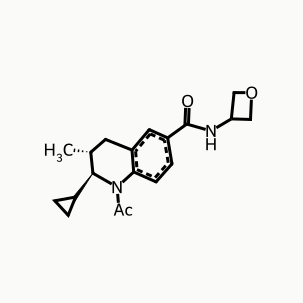 CC(=O)N1c2ccc(C(=O)NC3COC3)cc2C[C@@H](C)[C@@H]1C1CC1